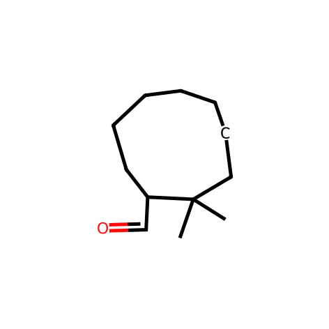 CC1(C)CCCCCCCC1C=O